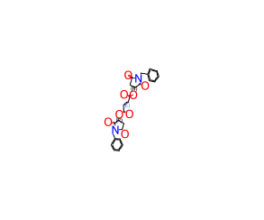 O=C(/C=C/C(=O)O[C@@H]1CC(=O)N(Cc2ccccc2)C1=O)O[C@@H]1CC(=O)N(Cc2ccccc2)C1=O